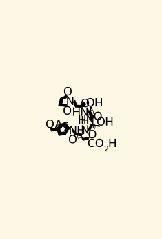 CC(=O)OCc1ccc(NC(=O)[C@H](CCC(=O)O)NC(=O)[C@H](CO)NC(=O)[C@H](CO)NC(=O)CCN2C(=O)C=CC2=O)cc1